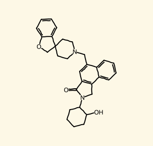 O=C1c2cc(CN3CCC4(CC3)COc3ccccc34)c3ccccc3c2CN1C1CCCCC1O